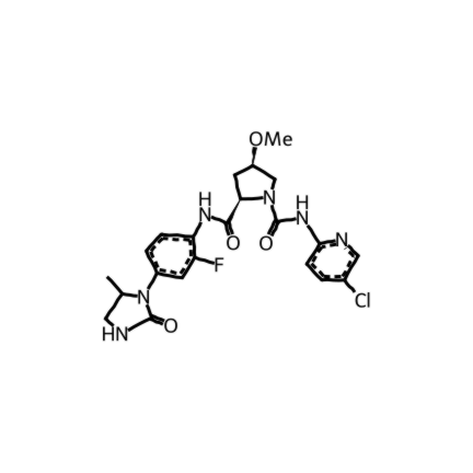 CO[C@@H]1C[C@H](C(=O)Nc2ccc(N3C(=O)NCC3C)cc2F)N(C(=O)Nc2ccc(Cl)cn2)C1